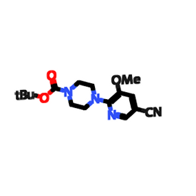 COc1cc(C#N)cnc1N1CCN(C(=O)OC(C)(C)C)CC1